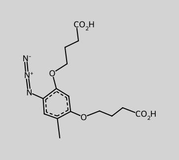 Cc1cc(N=[N+]=[N-])c(OCCCC(=O)O)cc1OCCCC(=O)O